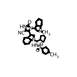 Cc1ccc(S(=O)(=O)N[C@@H](C2CCCC2)n2cc(-c3c(C#N)[nH]c(=O)n3-c3cn(C)c4ccccc34)c3ccccc32)cc1